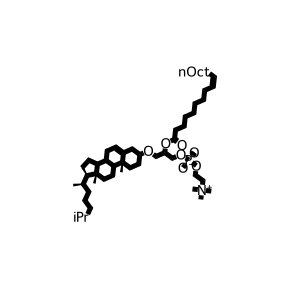 CCCCCCCC/C=C\CCCCCCCC(=O)OC(COC1CC[C@@]2(C)C(=CCC3C2CC[C@@]2(C)C3CC[C@@H]2[C@H](C)CCCC(C)C)C1)COP(=O)([O-])OCC[N+](C)(C)C